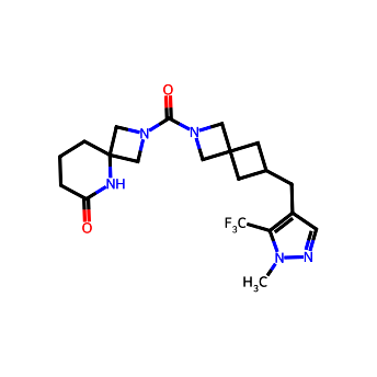 Cn1ncc(CC2CC3(C2)CN(C(=O)N2CC4(CCCC(=O)N4)C2)C3)c1C(F)(F)F